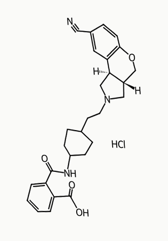 Cl.N#Cc1ccc2c(c1)[C@@H]1CN(CCC3CCC(NC(=O)c4ccccc4C(=O)O)CC3)C[C@H]1CO2